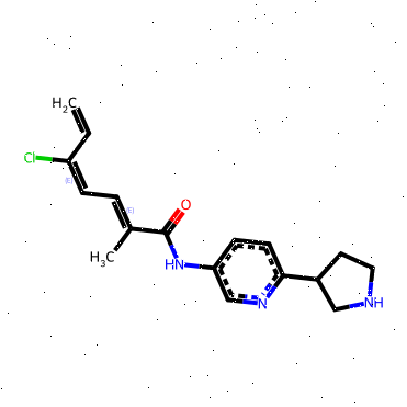 C=C/C(Cl)=C\C=C(/C)C(=O)Nc1ccc(C2CCNC2)nc1